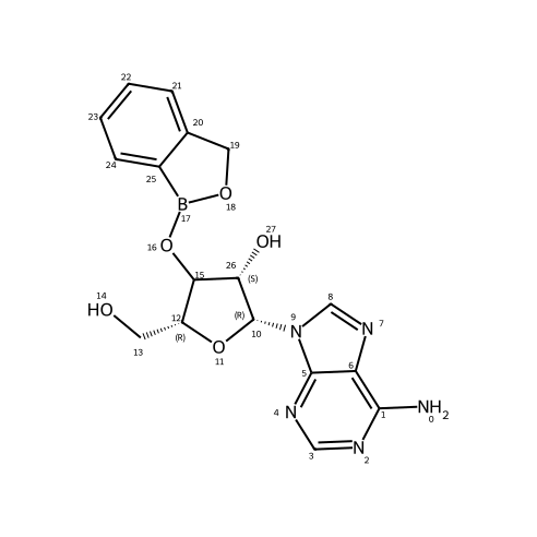 Nc1ncnc2c1ncn2[C@@H]1O[C@H](CO)C(OB2OCc3ccccc32)[C@@H]1O